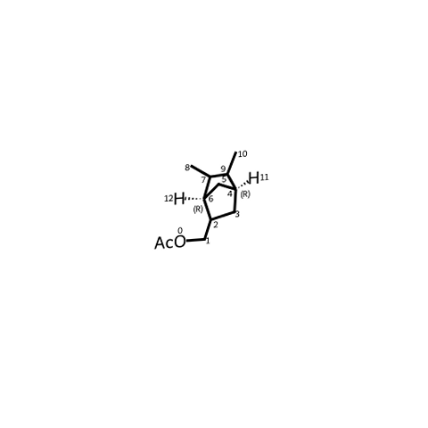 CC(=O)OCC1C[C@H]2C[C@@H]1C(C)C2C